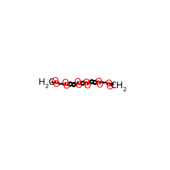 C=CC(=O)OCCCCC(=O)Oc1ccc2cc(C(=O)Oc3ccc(OC(=O)c4ccc5cc(OC(=O)CCCCOC(=O)C=C)ccc5c4)cc3)ccc2c1